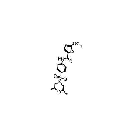 CC1CN(S(=O)(=O)c2ccc(NC(=O)c3ccc([N+](=O)[O-])o3)cc2)CC(C)O1